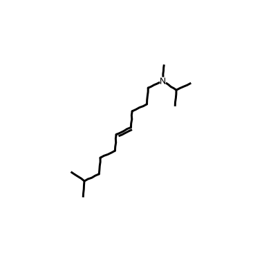 CC(C)CCC/C=C/CCCN(C)C(C)C